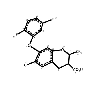 O=C(O)C1Cc2cc(Cl)c(Oc3cc(F)ccc3F)cc2OC1C(F)(F)F